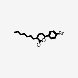 CCCCCCCC1CCC(c2ccc(Br)cc2)OC1=O